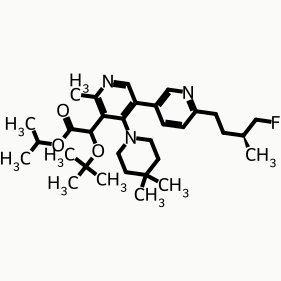 Cc1ncc(-c2ccc(CC[C@H](C)CF)nc2)c(N2CCC(C)(C)CC2)c1C(OC(C)(C)C)C(=O)OC(C)C